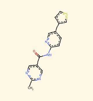 Cc1ncc(C(=O)Nc2ccc(-c3ccsc3)cn2)cn1